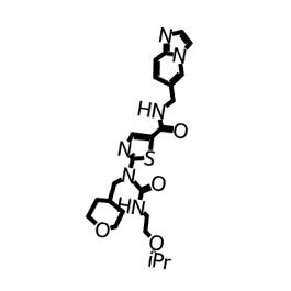 CC(C)OCCNC(=O)N(CC1CCOCC1)c1ncc(C(=O)NCc2ccc3nccn3c2)s1